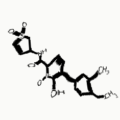 Cc1ccc(-c2ccc(C(=O)NC3C=CS(=O)(=O)C3)[n+]([O-])c2O)cc1C